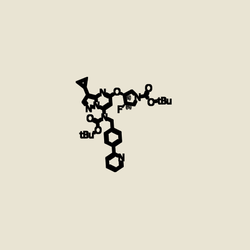 CC(C)(C)OC(=O)N1C[C@H](Oc2cc(N(Cc3ccc(-c4ccccn4)cc3)C(=O)OC(C)(C)C)n3ncc(C4CC4)c3n2)[C@@H](F)C1